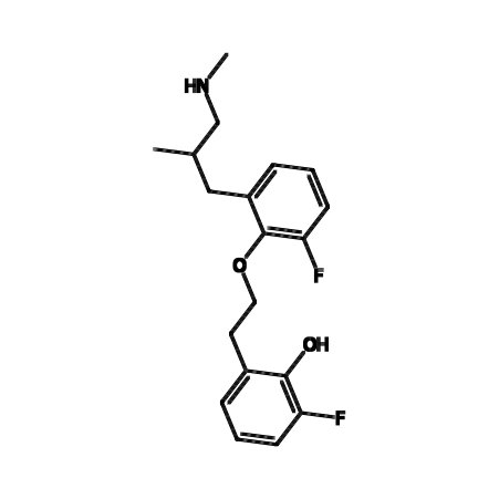 CNCC(C)Cc1cccc(F)c1OCCc1cccc(F)c1O